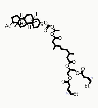 CC/C=C\CC(=O)OCC(COC(=O)C/C=C\CC)OC(=O)CC(C)CCCC(C)CC(=O)OC(C)OC(=O)O[C@@H]1CC[C@@]2(C)[C@@H](CC[C@@H]3[C@@H]2CC[C@]2(C)[C@@H](C(C)=O)CC[C@@H]32)C1